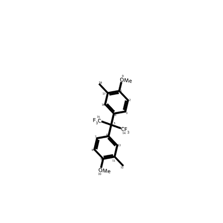 COc1ccc(C(c2ccc(OC)c(C)c2)(C(F)(F)F)C(F)(F)F)cc1C